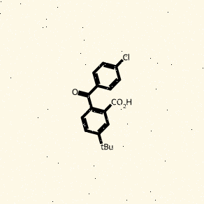 CC(C)(C)c1ccc(C(=O)c2ccc(Cl)cc2)c(C(=O)O)c1